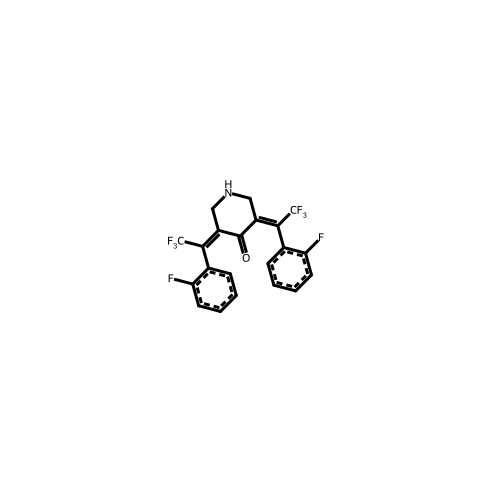 O=C1C(=C(c2ccccc2F)C(F)(F)F)CNCC1=C(c1ccccc1F)C(F)(F)F